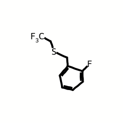 Fc1ccccc1CSCC(F)(F)F